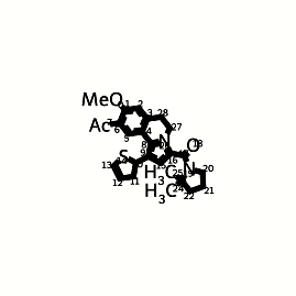 COc1cc2c(cc1C(C)=O)-c1c(C3CC=CS3)cc(C(=O)N3CCCC3(C)C)n1CC2